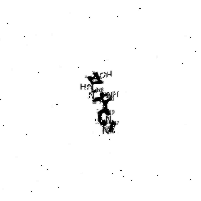 CC1(O)CC(Nc2ncc3c(-c4ccc5nccn5c4)c[nH]c3n2)C1